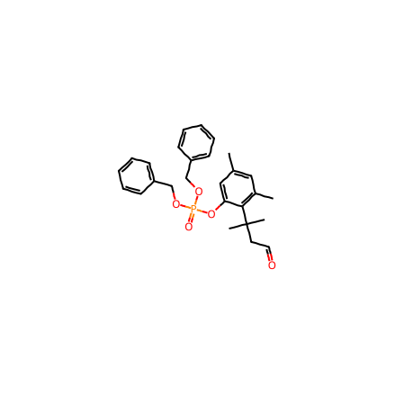 Cc1cc(C)c(C(C)(C)CC=O)c(OP(=O)(OCc2ccccc2)OCc2ccccc2)c1